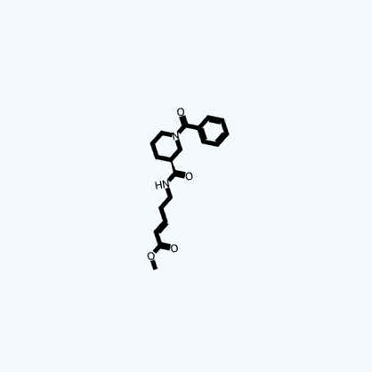 COC(=O)/C=C/CCNC(=O)[C@H]1CCCN(C(=O)c2ccccc2)C1